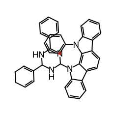 C1=CC(C2NC(c3ccccc3)=NC(n3c4ccccc4c4ccc5c6ccccc6n(-c6ccccc6)c5c43)N2)=CCC1